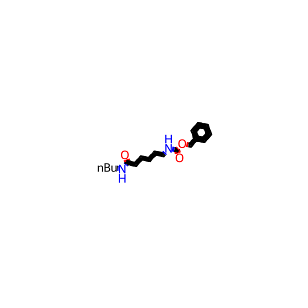 CCCCNC(=O)CCCCCNC(=O)OCc1ccccc1